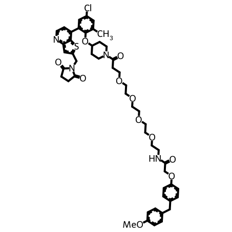 COc1ccc(Cc2ccc(OCC(=O)NCCOCCOCCOCCOCCC(=O)N3CCC(Oc4c(C)cc(Cl)cc4-c4ccnc5cc(CN6C(=O)CCC6=O)sc45)CC3)cc2)cc1